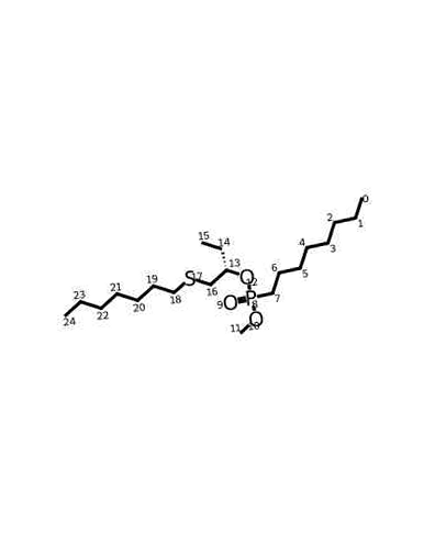 CCCCCCCCP(=O)(OC)O[C@@H](CC)CSCCCCCCC